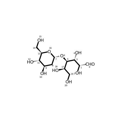 O=C[C@H](O)[C@@H](O)[C@H](O[C@@H]1C[C@@H](O)[C@H](O)[C@@H](CO)O1)[C@H](O)CO